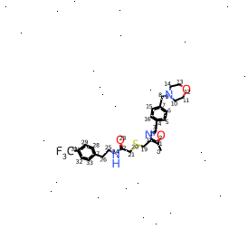 Cc1oc(-c2ccc(CN3CCOCC3)cc2)nc1CSCC(=O)NCCc1ccc(C(F)(F)F)cc1